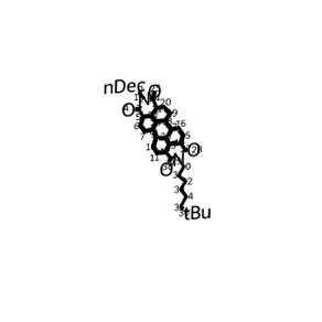 CCCCCCCCCCCN1C(=O)c2ccc3c4ccc5c6c(ccc(c7ccc(c2c37)C1=O)c64)C(=O)N(CCCCCCC(C)(C)C)C5=O